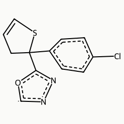 Clc1ccc(C2(c3nn[c]o3)CC=CS2)cc1